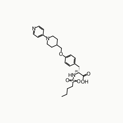 CCCCS(=O)(=O)N[C@H](Cc1ccc(OCC2CCN(c3ccncc3)CC2)cc1)C(=O)O